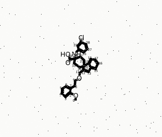 COc1ccccc1CCOCC1=Cc2ccccc2C12CCC(Nc1cccc(Cl)c1)(C(=O)O)CC2